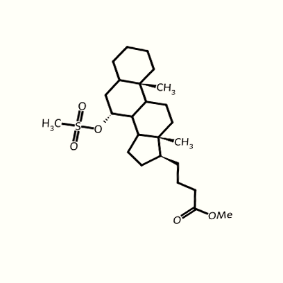 COC(=O)CCC[C@H]1CCC2C3C(CC[C@@]21C)[C@@]1(C)CCCCC1C[C@H]3OS(C)(=O)=O